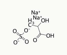 CC(O)C(=O)O.O=S(=O)([O-])[O-].[Na+].[Na+]